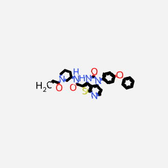 C=CC(=O)N1CCCC(NC(=O)c2sc3nccc4c3c2NC(=O)N4c2ccc(Oc3ccccc3)cc2)C1